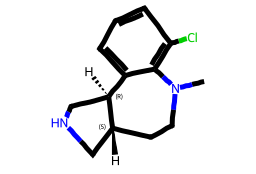 CN1CC[C@@H]2CNC[C@H]2c2cccc(Cl)c21